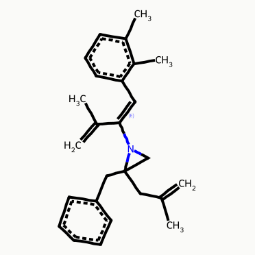 C=C(C)CC1(Cc2ccccc2)CN1/C(=C/c1cccc(C)c1C)C(=C)C